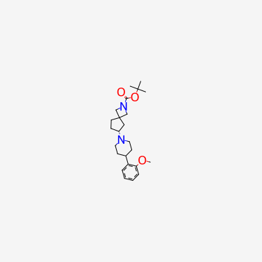 COc1ccccc1C1CCN([C@@H]2CCC3(C2)CN(C(=O)OC(C)(C)C)C3)CC1